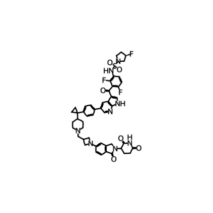 O=C1CCC(N2Cc3cc(N4CC(CN5CCC(C6(c7ccc(-c8cnc9[nH]cc(C(=O)c%10c(F)ccc(NS(=O)(=O)N%11CC[C@@H](F)C%11)c%10F)c9c8)cc7)CC6)CC5)C4)ccc3C2=O)C(=O)N1